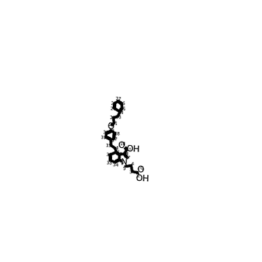 O=C(O)CCCn1cc(C(=O)O)c2c(CCc3ccc(OCCCc4ccccc4)cc3)cccc21